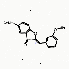 CC(=O)Nc1ccc2c(c1)C(=O)/C(=C/c1cccc(OC(C)C)c1)O2